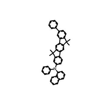 CC1(C)c2ccc(-c3ccccc3)cc2-c2cc3c(cc21)-c1ccc(N(c2ccccc2)c2cccc4ccccc24)cc1C3(C)C